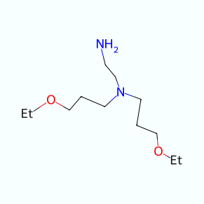 CCOCCCN(CCN)CCCOCC